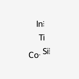 [Co].[In].[Si].[Ti]